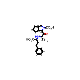 C[C@H](NC(CCc1ccccc1)C(=O)O)C(=O)C1C2CCCC2CN1C(=O)O